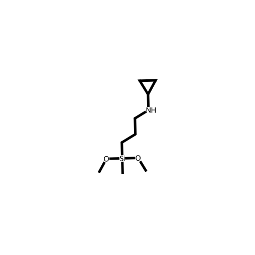 CO[Si](C)(CCCNC1CC1)OC